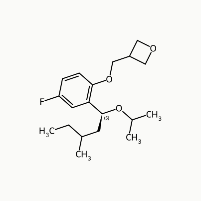 CCC(C)C[C@H](OC(C)C)c1cc(F)ccc1OCC1COC1